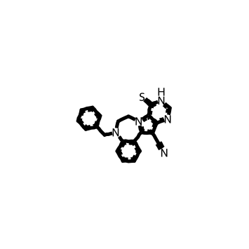 N#Cc1c2n(c3c(=S)[nH]cnc13)CCN(Cc1ccccc1)c1ccccc1-2